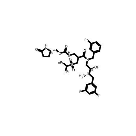 CCCC(CCC)S(=O)(=O)CC(CNC(=O)OC[C@@H]1CCC(=O)N1)C(=O)N(Cc1cccc(CC)c1)C[C@@H](O)[C@@H](N)Cc1cc(F)cc(F)c1